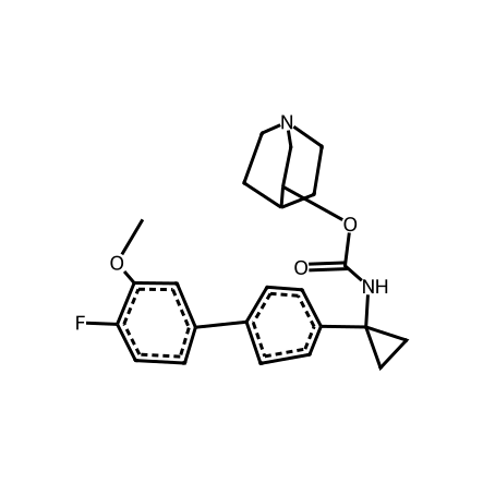 COc1cc(-c2ccc(C3(NC(=O)OC4CN5CCC4CC5)CC3)cc2)ccc1F